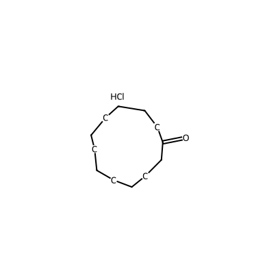 Cl.O=C1CCCCCCCCCCC1